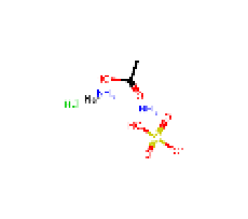 CC(=O)O.Cl.N.N.O=S(=O)([O-])O.[Na+]